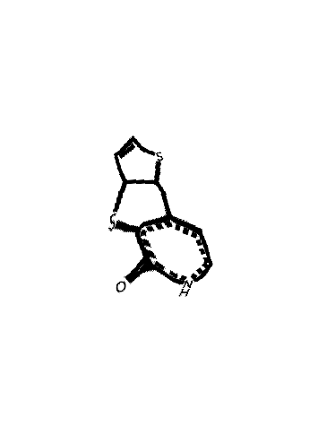 O=c1[nH]ccc2c1SC1C=CSC21